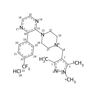 Cc1nn(C)c(C)c1CN1CCN(c2nccnc2-c2ccc(C(F)(F)F)cc2)CC1.Cl